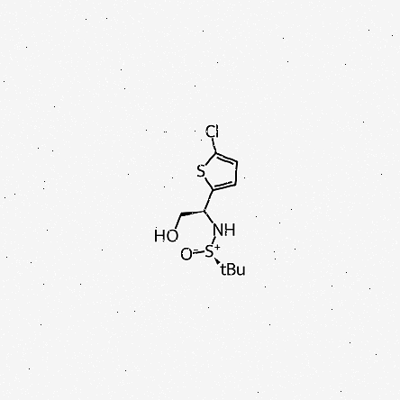 CC(C)(C)[S@@+]([O-])N[C@@H](CO)c1ccc(Cl)s1